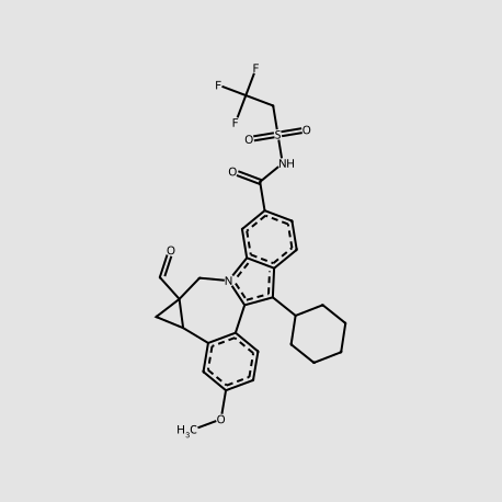 COc1ccc2c(c1)C1CC1(C=O)Cn1c-2c(C2CCCCC2)c2ccc(C(=O)NS(=O)(=O)CC(F)(F)F)cc21